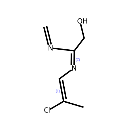 C=N/C(CO)=N\C=C(/C)Cl